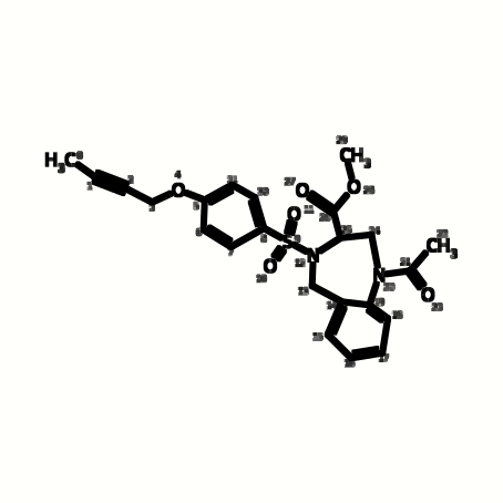 CC#CCOc1ccc(S(=O)(=O)N2Cc3ccccc3N(C(C)=O)CC2C(=O)OC)cc1